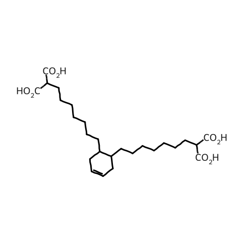 O=C(O)C(CCCCCCCC1CC=CCC1CCCCCCCC(C(=O)O)C(=O)O)C(=O)O